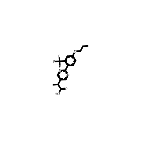 CCCOc1ccc(-c2ncc(C(C)C(=O)O)cn2)c(C(F)(F)F)c1